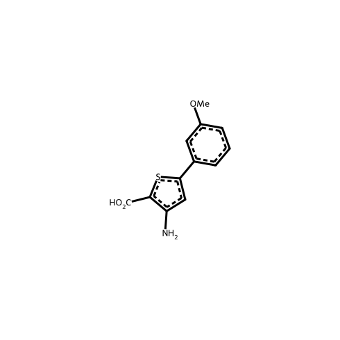 COc1cccc(-c2cc(N)c(C(=O)O)s2)c1